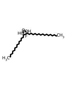 CCCCCCCCCCCCCCCCCC(F)(CCCCCCCCCCCCCCC)P(=O)(O)O